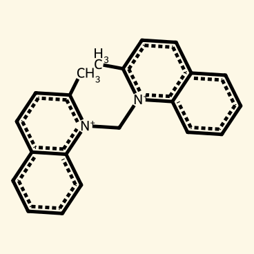 Cc1ccc2ccccc2[n+]1C[n+]1c(C)ccc2ccccc21